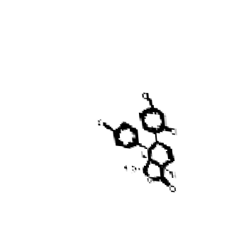 C[C@H]1OC(=O)[C@@H]2C=C[C@H](c3ccc(Cl)cc3Cl)[C@H](c3ccc(Cl)cc3)[C@H]12